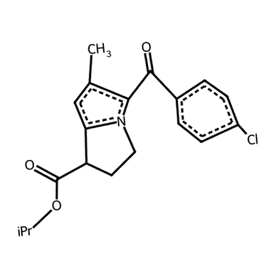 Cc1cc2n(c1C(=O)c1ccc(Cl)cc1)CCC2C(=O)OC(C)C